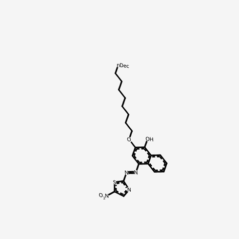 CCCCCCCCCCCCCCCCCCOc1cc(/N=N/c2ncc([N+](=O)[O-])s2)c2ccccc2c1O